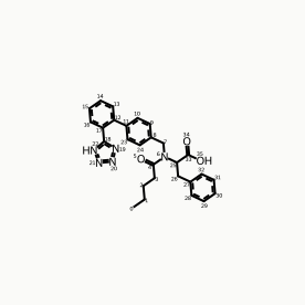 CCCCC(=O)N(Cc1ccc(-c2ccccc2-c2nnn[nH]2)cc1)C(Cc1ccccc1)C(=O)O